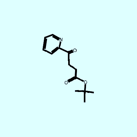 CC(C)(C)OC(=O)CCC(=O)c1ccccn1